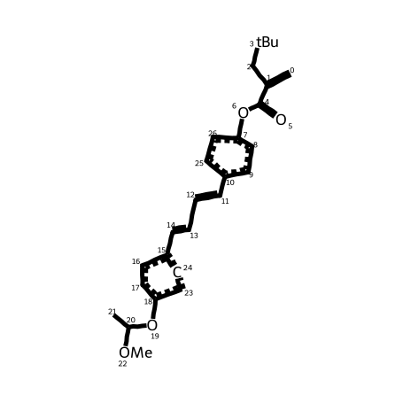 C=C(CC(C)(C)C)C(=O)Oc1ccc(C=CC=Cc2ccc(OC(C)OC)cc2)cc1